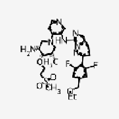 CCOCc1cc(F)c(-c2ccc3cnc(Nc4cnccc4N4C[C@@H](N)[C@@H](OCCS(C)(=O)=O)[C@@H](C)C4)n3n2)c(F)c1